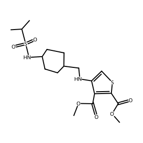 COC(=O)c1scc(NCC2CCC(NS(=O)(=O)C(C)C)CC2)c1C(=O)OC